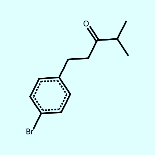 CC(C)C(=O)CCc1ccc(Br)cc1